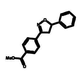 COC(=O)c1ccc(C2=NOC(c3ccccc3)C2)cc1